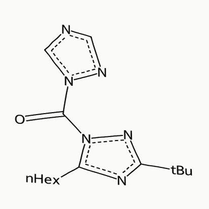 CCCCCCc1nc(C(C)(C)C)nn1C(=O)n1cncn1